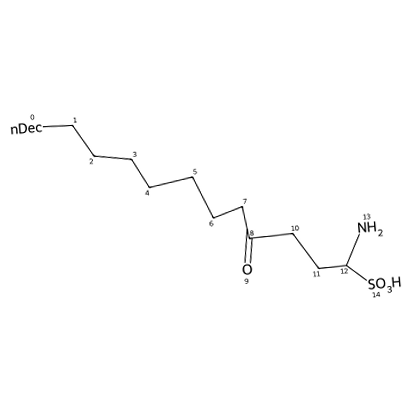 CCCCCCCCCCCCCCCCCC(=O)CCC(N)S(=O)(=O)O